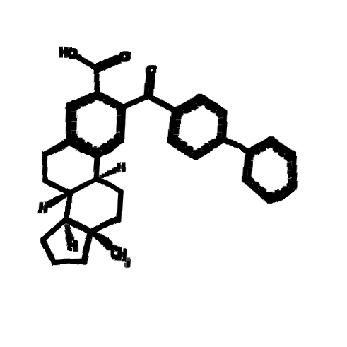 C[C@@]12CCC[C@H]1[C@@H]1CCc3cc(C(=O)O)c(C(=O)c4ccc(-c5ccccc5)cc4)cc3[C@H]1CC2